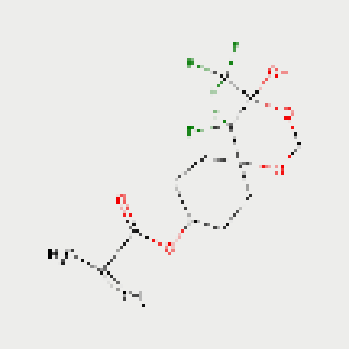 C=C(C)C(=O)OC1CCC2(CC1)OCOC(O)(C(F)(F)F)C2(F)F